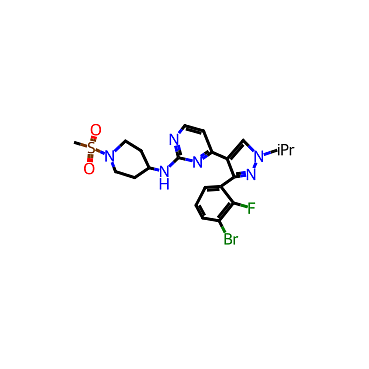 CC(C)n1cc(-c2ccnc(NC3CCN(S(C)(=O)=O)CC3)n2)c(-c2cccc(Br)c2F)n1